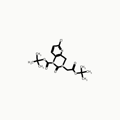 CC(C)(C)OC(=O)CN1Cc2nc(Cl)ccc2N(C(=O)OC(C)(C)C)C1=O